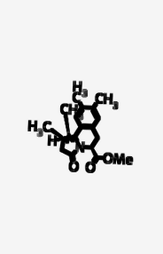 COC(=O)[C@@H]1Cc2cc(C)c(C)cc2[C@@]23C[C@H](C)[C@@H](C)[C@@H]2CC(=O)N13